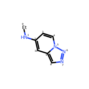 CCNc1ccn2nncc2c1